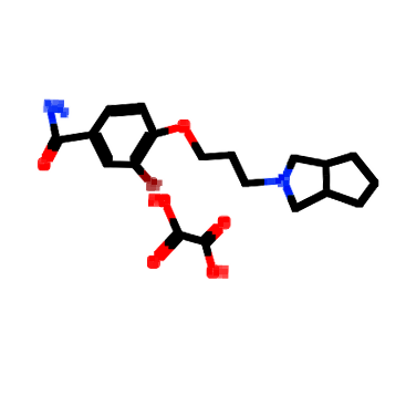 NC(=O)c1ccc(OCCCN2CC3CCCC3C2)c(Br)c1.O=C(O)C(=O)O